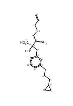 C=CCSCC(N)[C@](O)(Cc1cc(CCCC2CC2)ccn1)C(=O)O